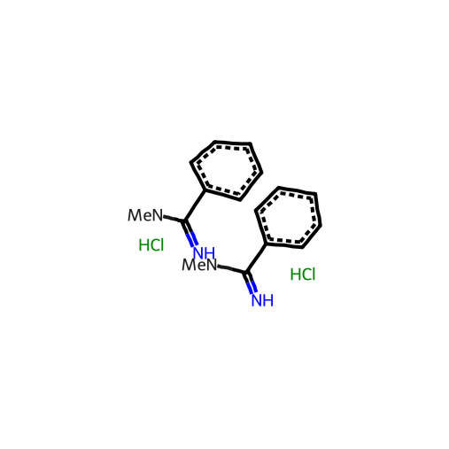 CNC(=N)c1ccccc1.CNC(=N)c1ccccc1.Cl.Cl